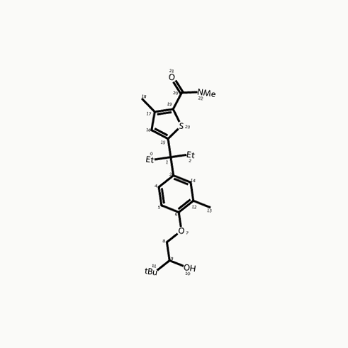 CCC(CC)(c1ccc(OCC(O)C(C)(C)C)c(C)c1)c1cc(C)c(C(=O)NC)s1